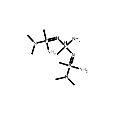 CN(C)P(C)(N)=N[PH](C)(N)N=P(C)(N)N(C)C